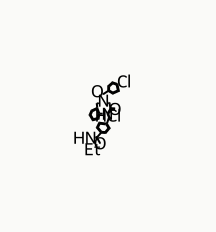 CCOC(=N)c1ccc(CN2C(=O)CN(C(=O)c3ccc(Cl)cc3)Cc3ccccc32)cc1.Cl